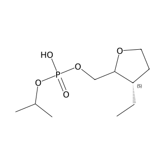 CC[C@H]1CCOC1COP(=O)(O)OC(C)C